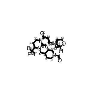 O=CN1CCC(CN2c3nc(N4C[C@@H]5CC4CO5)cc(=O)n3CCC2C(F)(F)F)CC1